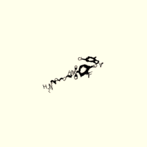 Cc1cc(Cl)cc2c1C[C@H](N(C)C)[C@H]2Oc1ccc(S(=O)(=O)NCCOCCOCCN)cc1F